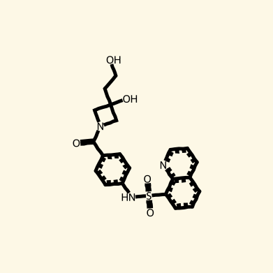 O=C(c1ccc(NS(=O)(=O)c2cccc3cccnc23)cc1)N1CC(O)(CCO)C1